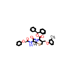 N#Cc1cccc(OCC2=C(C(=O)OC(c3ccccc3)c3ccccc3)N3C(=O)C(NC(=O)COc4ccccc4)[C@H]3SC2)c1